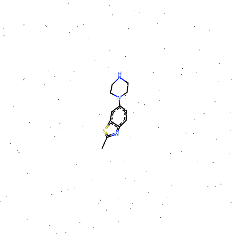 Cc1nc2ccc(N3CCNCC3)cc2s1